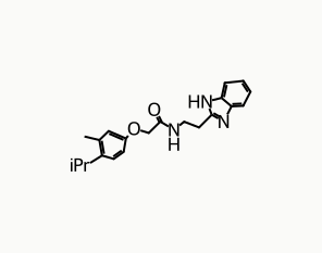 Cc1cc(OCC(=O)NCCc2nc3ccccc3[nH]2)ccc1C(C)C